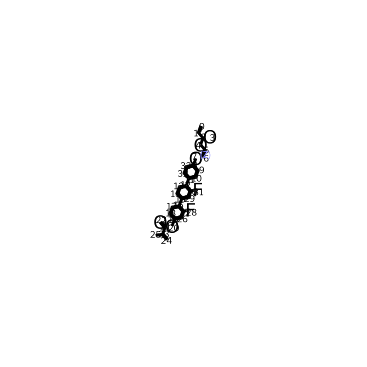 C=CC(=O)O/C=C\Oc1ccc(-c2ccc(-c3ccc(OC(=O)C(=C)C)cc3F)cc2F)cc1